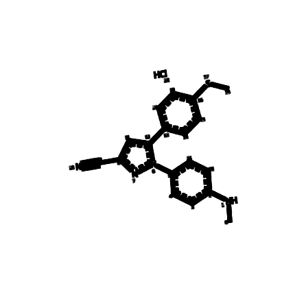 CNc1ccc(-n2nc(C#N)cc2-c2ccc(SC)cc2)cc1.Cl